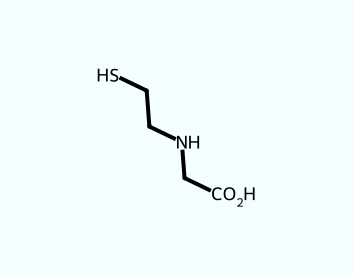 O=C(O)CNCCS